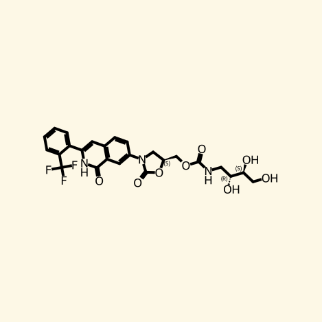 O=C(NC[C@@H](O)[C@@H](O)CO)OC[C@@H]1CN(c2ccc3cc(-c4ccccc4C(F)(F)F)[nH]c(=O)c3c2)C(=O)O1